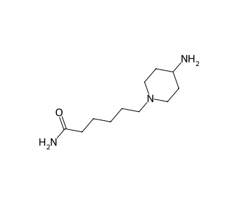 NC(=O)CCCCCN1CCC(N)CC1